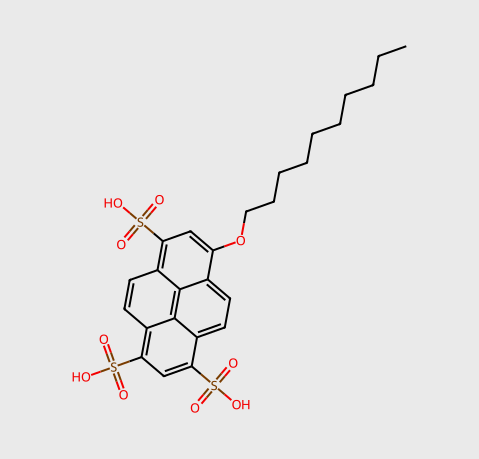 CCCCCCCCCCOc1cc(S(=O)(=O)O)c2ccc3c(S(=O)(=O)O)cc(S(=O)(=O)O)c4ccc1c2c43